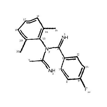 CC(=N)N(C(=N)c1ccc(F)cc1)c1c(C)cccc1C